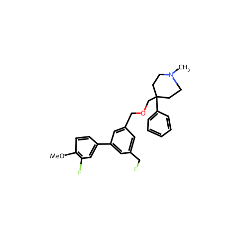 COc1ccc(-c2cc(CF)cc(COCC3(c4ccccc4)CCN(C)CC3)c2)cc1F